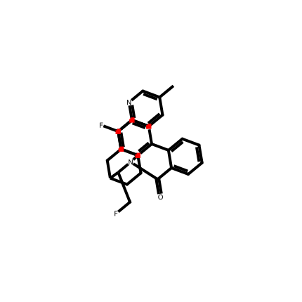 Cc1ccc(OC2CC3CCC2N(C(=O)c2ccccc2-c2ncc(F)cn2)C3CF)nc1